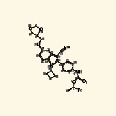 C[C@H](F)OC(=O)Nc1ccc(-c2c(C#N)c3cc(OCC4COCO4)ccc3n2C2CCC2)cc1